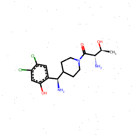 C[C@H](O)[C@H](N)C(=O)N1CCC([C@@H](N)c2cc(Cl)c(Cl)cc2O)CC1